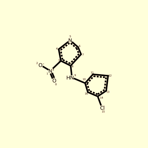 O=[N+]([O-])c1cnccc1Nc1cccc(Cl)c1